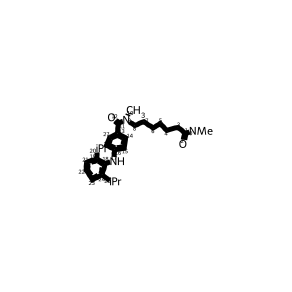 CNC(=O)CCCCCCN(C)C(=O)c1ccc(Nc2c(C(C)C)cccc2C(C)C)cc1